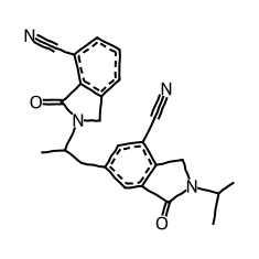 CC(C)N1Cc2c(C#N)cc(CC(C)N3Cc4cccc(C#N)c4C3=O)cc2C1=O